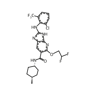 C[C@H]1CC[C@H](NC(=O)c2cc3nc(Nc4c(Cl)cccc4C(F)(F)F)[nH]c3nc2OCC(F)F)CC1